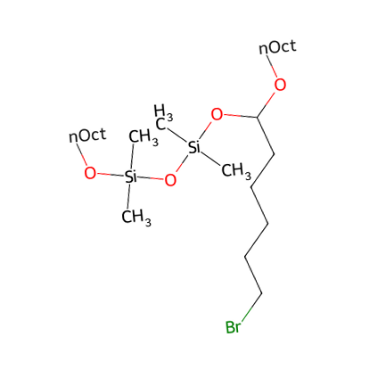 CCCCCCCCOC(CCCCCBr)O[Si](C)(C)O[Si](C)(C)OCCCCCCCC